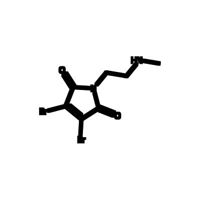 CNCCN1C(=O)C(Br)=C(Br)C1=O